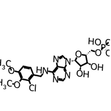 COc1ccc(CNc2ncnc3c2ncn3[C@@H]2O[C@H](COP(=O)(O)O)[C@@H](O)[C@H]2O)c(Cl)c1OC